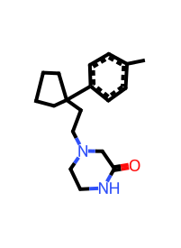 Cc1ccc(C2(CCN3CCNC(=O)C3)CCCC2)cc1